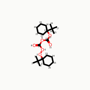 CC(C)(C)C1(OOC(=O)OC(=O)OC2(C(C)(C)C)CCCCC2)CCCCC1